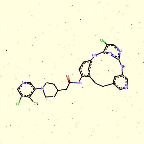 N#Cc1c(Cl)cncc1N1CCC(CC(=O)Nc2ccc3cc2CCc2cncc(c2)Nc2ncc(Cl)c(n2)N3)CC1